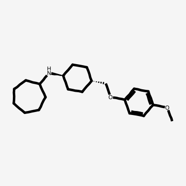 COc1ccc(OC[C@H]2CC[C@H](NC3CCCCCC3)CC2)cc1